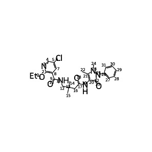 CCOc1ncc(Cl)cc1C(=O)NCC(C)(C)CC(=O)Nc1c(C)n(C)n(-c2ccccc2)c1=O